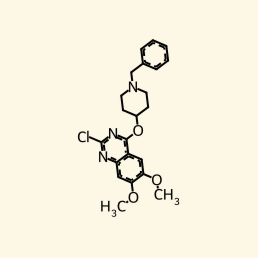 COc1cc2nc(Cl)nc(OC3CCN(Cc4ccccc4)CC3)c2cc1OC